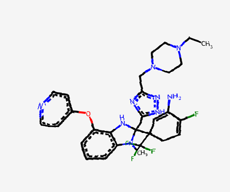 CCN1CCN(Cc2n[nH]c(C3(C4(C(F)(F)F)C=C(N)C(F)=CC4)Nc4c(Oc5ccncc5)cccc4N3C)n2)CC1